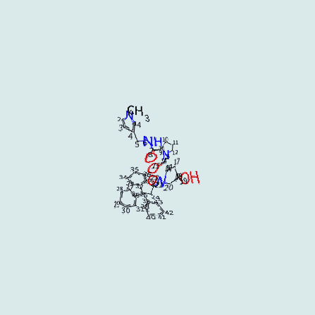 Cn1ccc(CNC(=O)[C@H]2CCCN2C(=O)[C@@H]2C[C@@H](O)CN2C(=O)CC(c2ccccc2)(c2ccccc2)c2ccccc2)c1